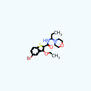 CCOc1c(C(=O)NC(CC)N2CCOCC2)sc2ccc(Br)cc12